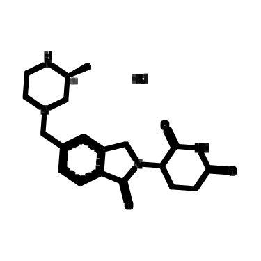 C[C@H]1CN(Cc2ccc3c(c2)CN(C2CCC(=O)NC2=O)C3=O)CCN1.Cl